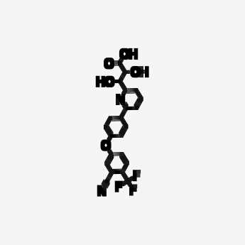 N#Cc1cc(Oc2ccc(-c3cccc(C(O)C(O)C(=O)O)n3)cc2)ccc1C(F)(F)F